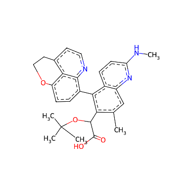 CNc1ccc2c(-c3ccc4c5c(ccnc35)CCO4)c(C(OC(C)(C)C)C(=O)O)c(C)cc2n1